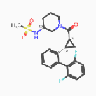 CS(=O)(=O)N[C@H]1CCCN(C(=O)[C@H]2C[C@@H]2c2ccccc2-c2c(F)cccc2F)C1